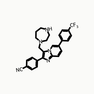 N#Cc1ccc(-c2nc3ccc(-c4ccc(C(F)(F)F)cc4)cn3c2CN2CCCNCC2)cc1